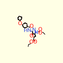 CCCOC(=O)c1cc2c(o1)c(NC(=O)c1ccc(Oc3ccccc3)cc1)nn2C(=O)OCC